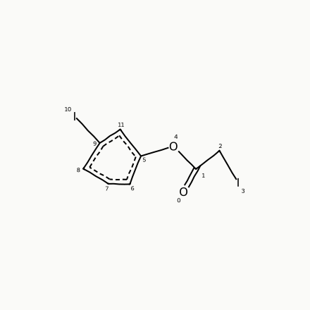 O=C(CI)Oc1cccc(I)c1